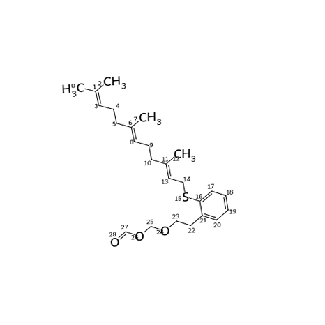 CC(C)=CCC/C(C)=C/CC/C(C)=C/CSc1ccccc1CCOCOC=O